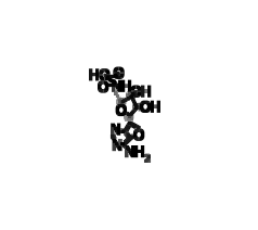 Nc1ncnc2c([C@@H]3O[C@H](CNS(=O)(=O)O)[C@@H](O)[C@H]3O)coc12